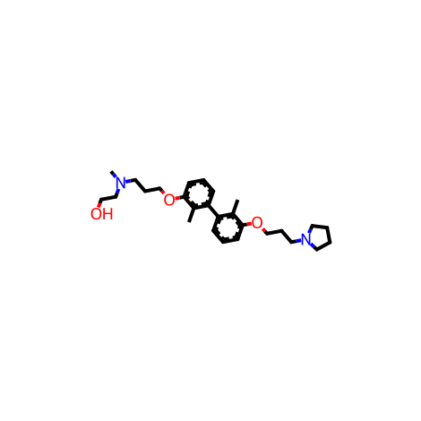 Cc1c(OCCCN(C)CCO)cccc1-c1cccc(OCCCN2CCCC2)c1C